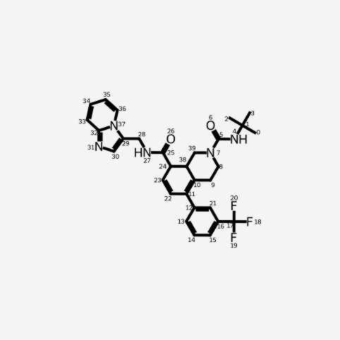 CC(C)(C)NC(=O)N1CCC2=C(c3cccc(C(F)(F)F)c3)C=CC(C(=O)NCc3cnc4ccccn34)C2C1